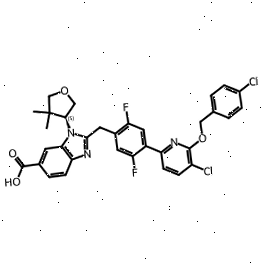 CC1(C)COC[C@H]1n1c(Cc2cc(F)c(-c3ccc(Cl)c(OCc4ccc(Cl)cc4)n3)cc2F)nc2ccc(C(=O)O)cc21